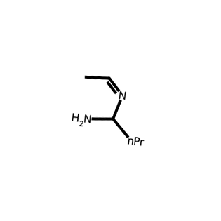 C/C=N\C(N)CCC